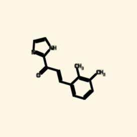 Cc1cccc(C=CC(=O)c2ncc[nH]2)c1C